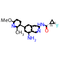 COc1ccc(-c2cc(N)c3cnc(NC(=O)[C@@H]4C[C@@H]4F)cc3c2)c(C)n1